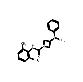 Cc1cccc(C)c1NC(=O)N1CC(N(C)c2ccccc2)C1